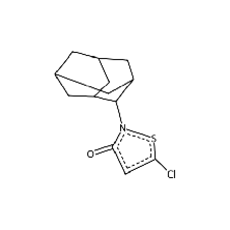 O=c1cc(Cl)sn1C1C2CC3CC(C2)CC1C3